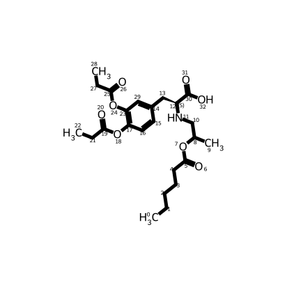 CCCCCC(=O)OC(C)CN[C@@H](Cc1ccc(OC(=O)CC)c(OC(=O)CC)c1)C(=O)O